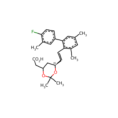 Cc1cc(C)c(C=C[C@@H]2CC(CC(=O)O)OC(C)(C)O2)c(-c2ccc(F)c(C)c2)c1